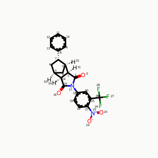 O=C1[C@@H]2[C@H]3C[C@H](C[C@@H]3c3ccccc3)[C@@H]2C(=O)N1c1ccc([N+](=O)[O-])c(C(F)(F)F)c1